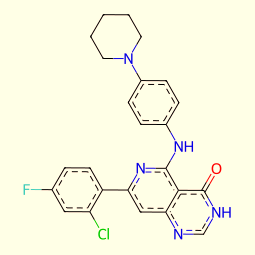 O=c1[nH]cnc2cc(-c3ccc(F)cc3Cl)nc(Nc3ccc(N4CCCCC4)cc3)c12